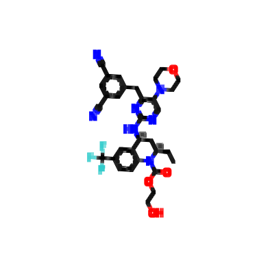 CC[C@@H]1C[C@H](Nc2ncc(N3CCOCC3)c(Cc3cc(C#N)cc(C#N)c3)n2)c2cc(C(F)(F)F)ccc2N1C(=O)OCCO